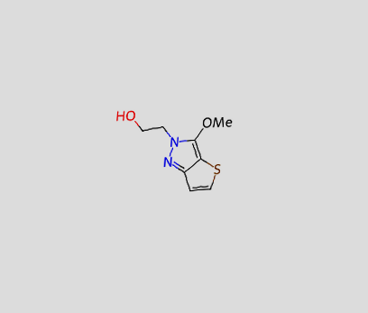 COc1c2sccc2nn1CCO